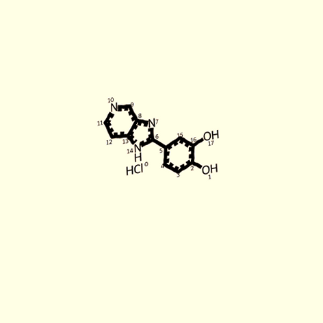 Cl.Oc1ccc(-c2nc3cnccc3[nH]2)cc1O